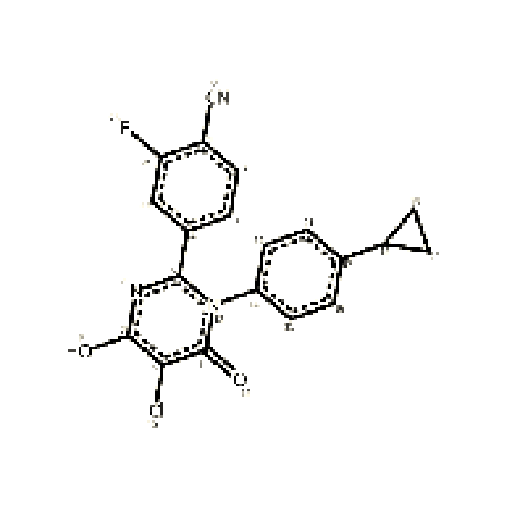 N#Cc1ccc(-c2nc(O)c(Cl)c(=O)n2-c2ccc(C3CC3)cc2)cc1F